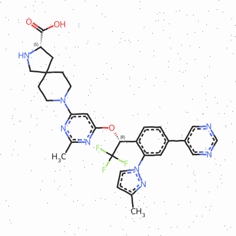 Cc1ccn(-c2cc(-c3cncnc3)ccc2[C@@H](Oc2cc(N3CCC4(CC3)CN[C@H](C(=O)O)C4)nc(C)n2)C(F)(F)F)n1